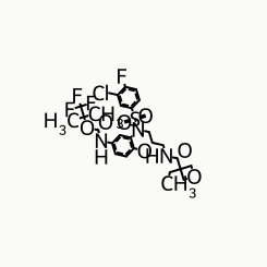 CCC1(C(=O)NCC2CN(S(=O)(=O)c3ccc(F)c(Cl)c3)c3cc(NC(=O)OC(C)(C)C(F)(F)F)ccc3O2)COC1